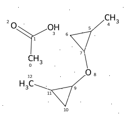 CC(=O)O.CC1CC1OC1CC1C